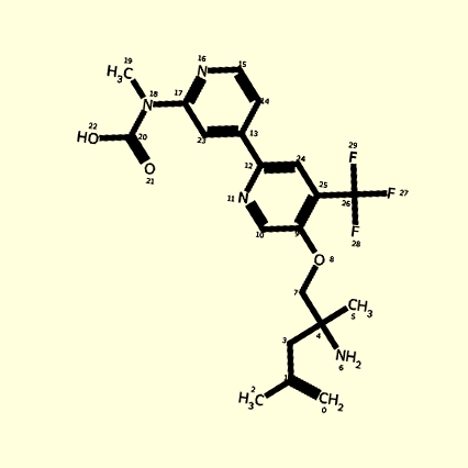 C=C(C)CC(C)(N)COc1cnc(-c2ccnc(N(C)C(=O)O)c2)cc1C(F)(F)F